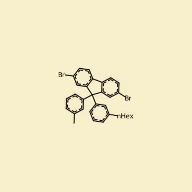 CCCCCCc1cccc(C2(c3cccc(C)c3)c3cc(Br)ccc3-c3ccc(Br)cc32)c1